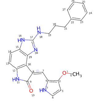 COc1cc[nH]c1/C=C1\C(=O)Nc2ccc3[nH]c(NCCCc4ccccc4)nc3c21